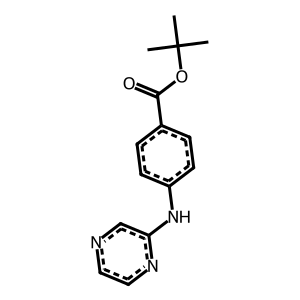 CC(C)(C)OC(=O)c1ccc(Nc2cnccn2)cc1